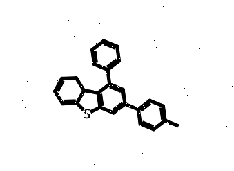 Cc1ccc(-c2cc3c(c(-c4ccccc4)c2)C2CC=CC=C2S3)cc1